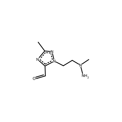 Cc1nc(C=O)n(CCN(C)N)n1